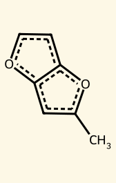 Cc1cc2occc2o1